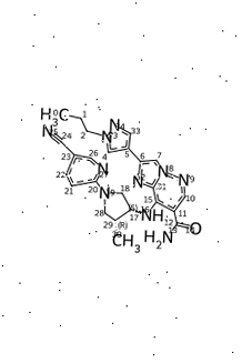 CCCn1cc(-c2cn3ncc(C(N)=O)c(N[C@@H]4CN(c5ccc(C#N)cn5)C[C@H]4C)c3n2)cn1